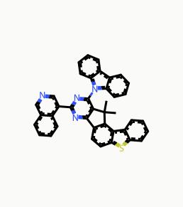 CC1(C)c2c(nc(-c3cncc4ccccc34)nc2-n2c3ccccc3c3ccccc32)-c2ccc3sc4ccccc4c3c21